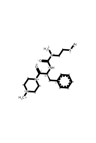 CC(=O)SCCN(C)C(=O)N[C@@H](Cc1ccccc1)C(=O)N1CCN(C)CC1